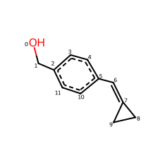 OCc1ccc(C=C2CC2)cc1